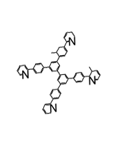 CC1CC(C2=NCCC=C2)=CC=C1c1cc(-c2ccc(-c3ccccn3)cc2)cc(-c2cc(-c3ccc(-c4ccccn4)cc3)cc(-c3ccc(C4N=CC=CC4C)cc3)c2)c1